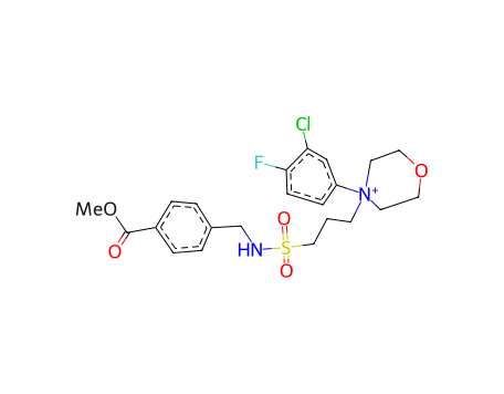 COC(=O)c1ccc(CNS(=O)(=O)CCC[N+]2(c3ccc(F)c(Cl)c3)CCOCC2)cc1